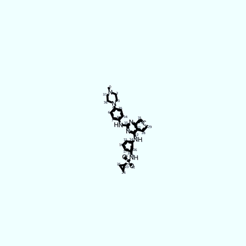 CN1CCN(c2ccc(Nc3nc(Nc4cccc(NS(=O)(=O)C5CC5)c4)c4ccccc4n3)cc2)CC1